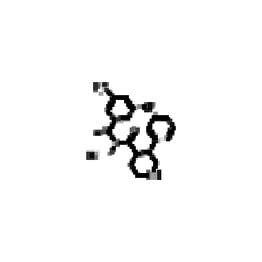 C[C@@H](c1cc(C(F)(F)F)cc(C(F)(F)F)c1)N(C)C(=O)C1=C(c2ccccc2)CNCC1.Cl